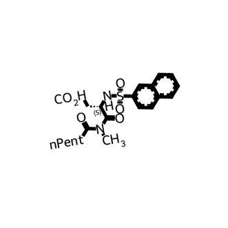 CCCCCC(=O)N(C)C(=O)[C@H](CC(=O)O)NS(=O)(=O)c1ccc2ccccc2c1